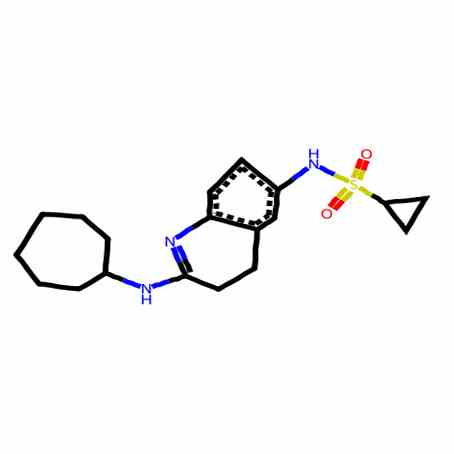 O=S(=O)(Nc1ccc2c(c1)CCC(NC1CCCCCC1)=N2)C1CC1